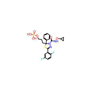 O=C(NOC1CC1)N1N=C(c2cc(F)ccc2F)SC1(CCCOP(=O)(O)O)c1ccccc1